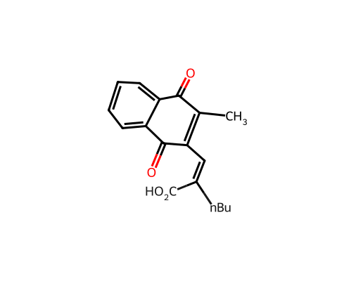 CCCCC(=CC1=C(C)C(=O)c2ccccc2C1=O)C(=O)O